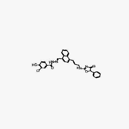 O=C(N/N=C/c1ccc(/C=C/CNC2=NC(=O)C(c3ccccc3)O2)c2ccccc12)c1ccc(O)c(Cl)c1